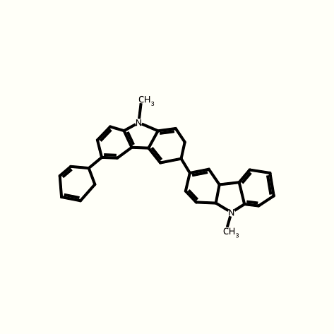 CN1c2ccccc2C2C=C(C3C=c4c(n(C)c5ccc(C6C=CC=CC6)cc45)=CC3)C=CC21